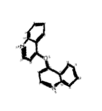 c1ccc2c(Oc3ccnc4ccccc34)ccnc2c1